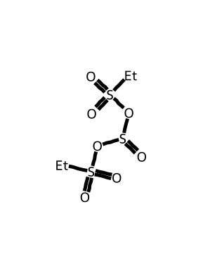 CCS(=O)(=O)OS(=O)OS(=O)(=O)CC